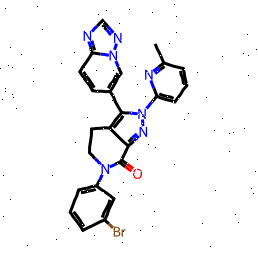 Cc1cccc(-n2nc3c(c2-c2ccc4ncnn4c2)CCN(c2cccc(Br)c2)C3=O)n1